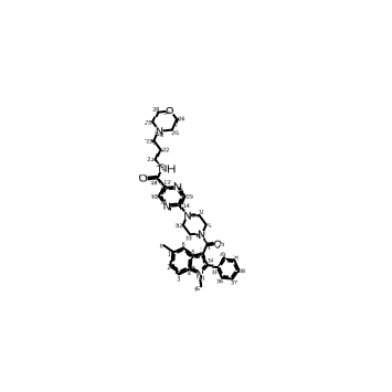 Cc1ccc2c(c1)c(C(=O)N1CCN(c3cnc(C(=O)NCCCN4CCOCC4)cn3)CC1)c(-c1ccccc1)n2C